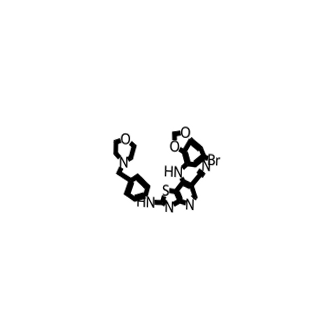 N#Cc1cnc2nc(Nc3ccc(CN4CCOCC4)cc3)sc2c1Nc1cc(Br)cc2c1OCO2